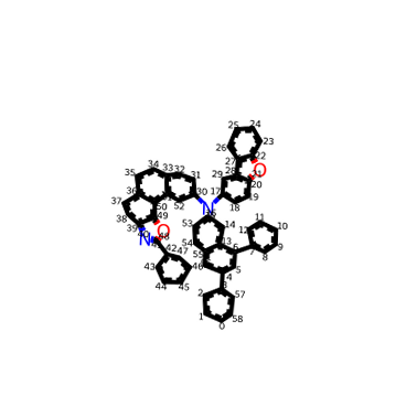 c1ccc(-c2cc(-c3ccccc3)c3cc(N(c4ccc5oc6ccccc6c5c4)c4ccc5ccc6ccc7nc(-c8ccccc8)oc7c6c5c4)ccc3c2)cc1